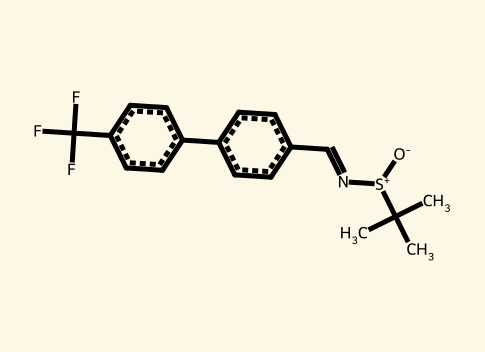 CC(C)(C)[S+]([O-])N=Cc1ccc(-c2ccc(C(F)(F)F)cc2)cc1